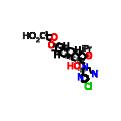 CC(C)C1=C2[C@H]3CC[C@@H]4[C@@]5(C)CC[C@H](OC(=O)CC(C)(C)C(=O)O)C(C)(C)[C@@H]5CC[C@@]4(C)[C@]3(C)CC[C@@]2([C@H](O)CN(CCN(C)C)[C@@H](C)c2ccc(Cl)cn2)CC1=O